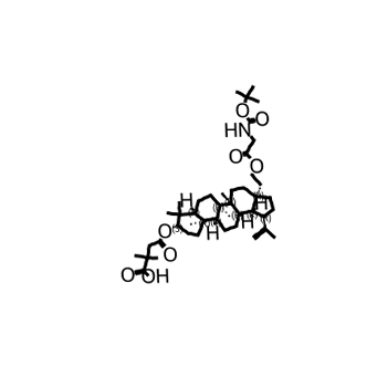 C=C(C)[C@@H]1CC[C@]2(CCOC(=O)CNC(=O)OC(C)(C)C)CC[C@]3(C)[C@H](CC[C@@H]4[C@@]5(C)CC[C@H](OC(=O)CC(C)(C)C(=O)O)C(C)(C)[C@@H]5CC[C@]43C)[C@@H]12